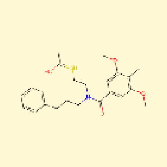 COc1cc(C(=O)N(CCCc2ccccc2)CC[SH]=C(C)O)cc(OC)c1C